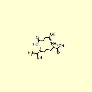 N=C(N)NCCCC(N)C(=O)O.O=C(O)CCC(=O)O